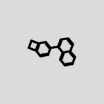 c1ccc2c(-c3ccc4c(c3)CC4)cccc2c1